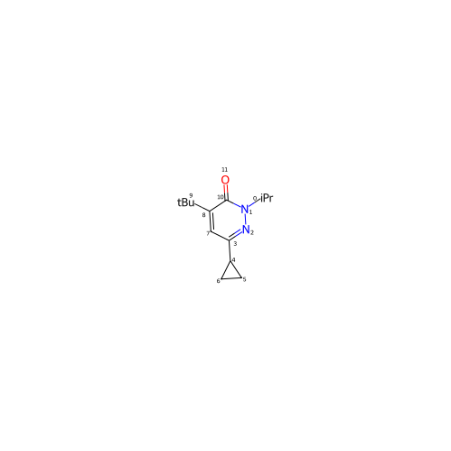 CC(C)n1nc(C2CC2)cc(C(C)(C)C)c1=O